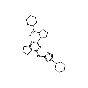 O=C(C1CCCN1c1nc2c(c(Nc3ncc(C4CCCCC4)s3)n1)CCC2)N1CCCCC1